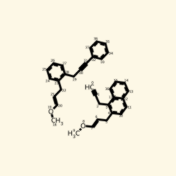 C#CCc1c(CC=COC)ccc2ccccc12.COC=CCc1ccccc1CC#Cc1ccccc1